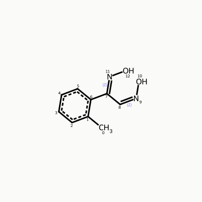 Cc1ccccc1C(/C=N\O)=N/O